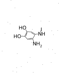 Nc1cc(O)c(O)cc1NI